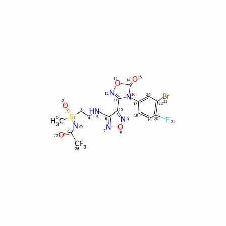 CS(=O)(CCNc1nonc1-c1noc(=O)n1-c1ccc(F)c(Br)c1)=NC(=O)C(F)(F)F